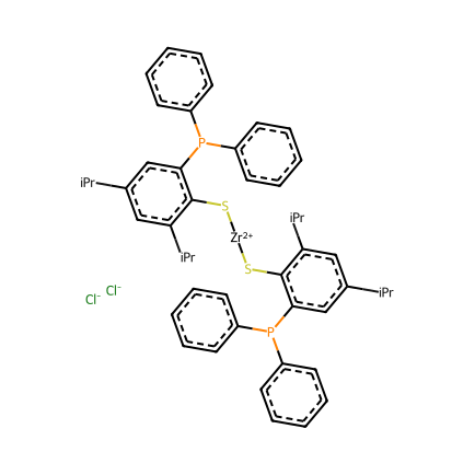 CC(C)c1cc(C(C)C)c([S][Zr+2][S]c2c(C(C)C)cc(C(C)C)cc2P(c2ccccc2)c2ccccc2)c(P(c2ccccc2)c2ccccc2)c1.[Cl-].[Cl-]